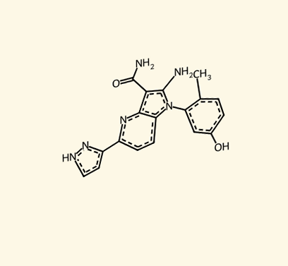 Cc1ccc(O)cc1-n1c(N)c(C(N)=O)c2nc(-c3cc[nH]n3)ccc21